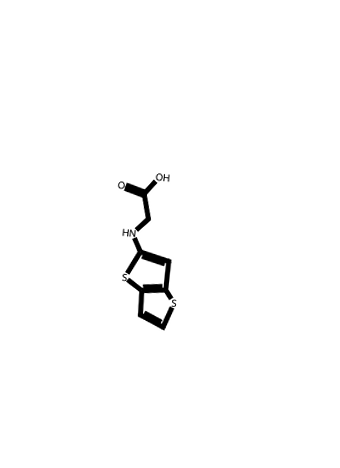 O=C(O)CNc1cc2sccc2s1